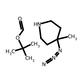 CC(C)(C)OC=O.CC1(N=[N+]=[N-])CCNCC1